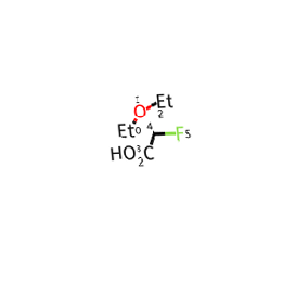 CCOCC.O=C(O)CF